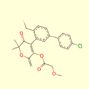 C=C1OC(C)(C)C(=O)C(c2cc(-c3ccc(Cl)cc3)ccc2CC)=C1OC(=O)COC